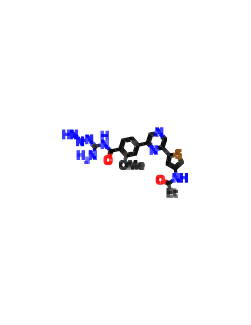 CCC(=O)Nc1csc(-c2cncc(-c3ccc(C(=O)N/C(N)=N/N=N)c(OC)c3)n2)c1